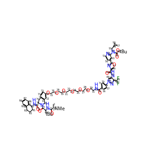 CN[C@@H](C)C(=O)N[C@H](C(=O)N1Cc2cc(OCCOCCOCCOCCOCCOCCNC(=O)c3ccc(-n4cc(NC(=O)c5coc(-c6ccnc(N(CC7CC7)C(=O)OC(C)(C)C)c6)n5)c(C(F)F)n4)cc3)ccc2C[C@H]1C(=O)N[C@@H]1CCCc2ccccc21)C(C)(C)C